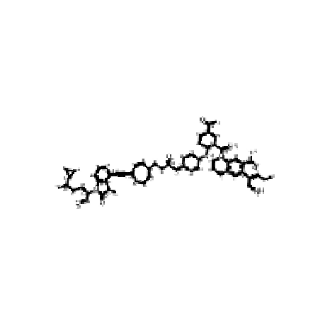 CC/C=C(\C=N)c1cc2c(cc1C(F)F)N(C(=N)C1CC(C(C)=O)CCC1NC1CCC(CC(=O)CCC3CCCC(C#Cc4cccc5c4C(C)C(=O)N5C(C=O)CCC(C)C4CC4)CC3)CC1)CCC2